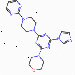 c1cnc(N2CCN(c3nc(N4CCOCC4)nc(-n4ccnc4)n3)CC2)nc1